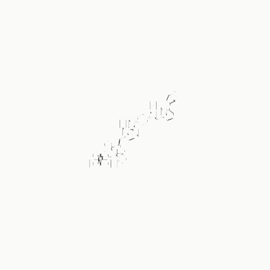 O=C1S/C(=C\c2ccnc(N[C@H]3CC[C@H](NCc4cccc(-c5ccsc5)n4)CC3)n2)C(=O)N1COP(=O)(O)O